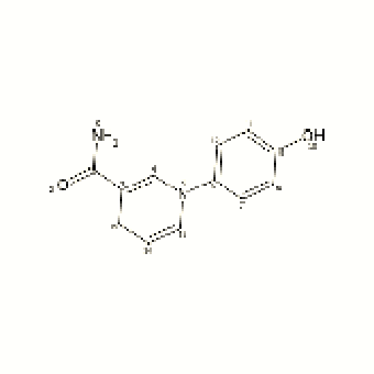 NC(=O)C1=CN(c2ccc(O)cc2)C=CC1